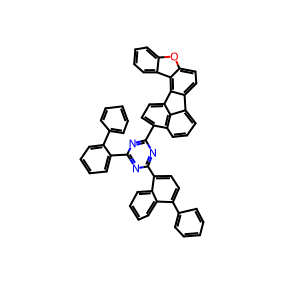 c1ccc(-c2ccccc2-c2nc(-c3ccc(-c4ccccc4)c4ccccc34)nc(-c3ccc4c5c(cccc35)-c3ccc5oc6ccccc6c5c3-4)n2)cc1